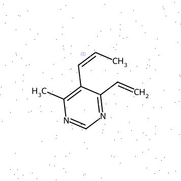 C=Cc1ncnc(C)c1/C=C\C